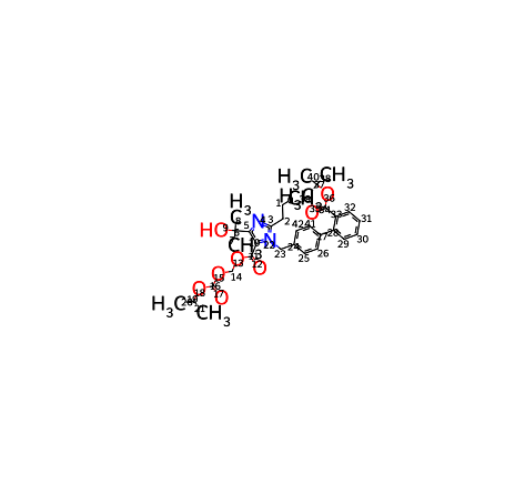 CCCc1nc(C(C)(C)O)c(C(=O)OCOC(=O)OC(C)C)n1Cc1ccc(-c2ccccc2C(=O)OC(C)(C)C)cc1